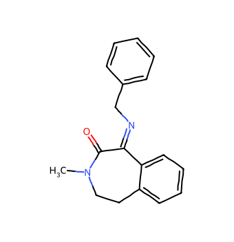 CN1CCc2ccccc2C(=NCc2ccccc2)C1=O